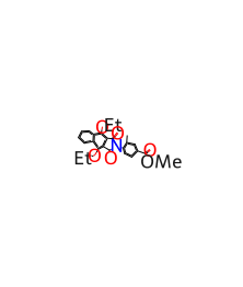 CCOc1c2c(c(OCC)c3ccccc13)C(=O)N(c1ccc(C(=O)OC)cc1C)C2=O